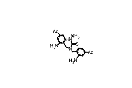 CC(=O)c1ccc(CN(Cc2ccc(C(C)=O)cc2N)C(=S)NN)c(N)c1